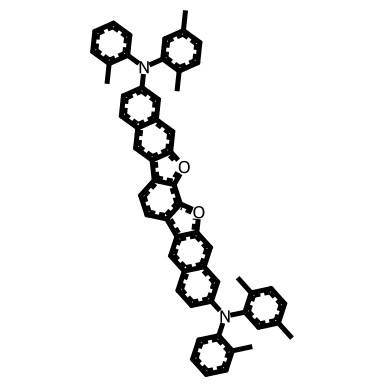 Cc1ccc(C)c(N(c2ccc3cc4c(cc3c2)oc2c4ccc3c4cc5ccc(N(c6ccccc6C)c6cc(C)ccc6C)cc5cc4oc32)c2ccccc2C)c1